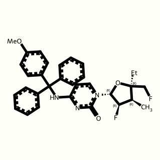 CC[C@@]1(CF)O[C@@H](n2ccc(NC(c3ccccc3)(c3ccccc3)c3ccc(OC)cc3)nc2=O)[C@H](F)[C@@H]1C